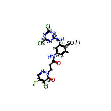 O=C(CCn1ncc(F)c(Cl)c1=O)Nc1ccc(S(=O)(=O)O)c(Nc2nc(Cl)nc(Cl)n2)c1